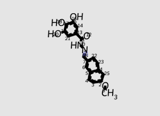 COc1ccc2cc(/C=N/NC(=O)c3cc(O)c(O)c(O)c3)ccc2c1